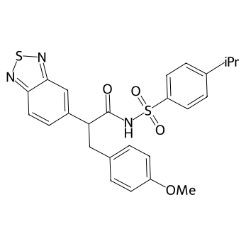 COc1ccc(CC(C(=O)NS(=O)(=O)c2ccc(C(C)C)cc2)c2ccc3nsnc3c2)cc1